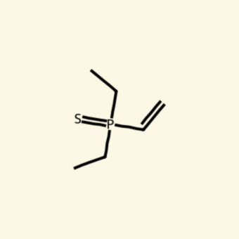 C=CP(=S)(CC)CC